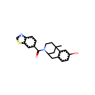 CC12CCN(C(=O)c3ccc4ncsc4c3)C(Cc3ccc(O)cc31)C2